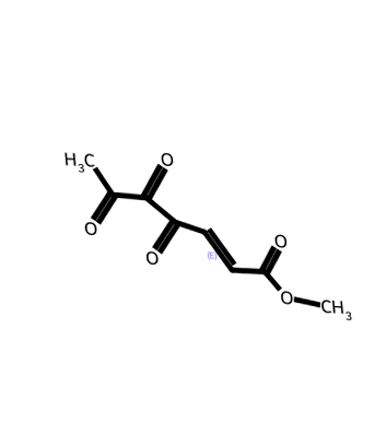 COC(=O)/C=C/C(=O)C(=O)C(C)=O